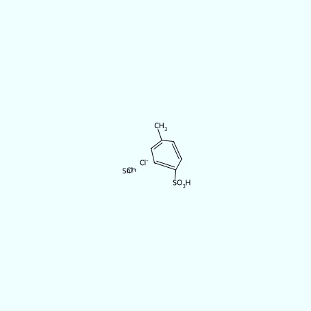 Cc1ccc(S(=O)(=O)O)cc1.[Cl-].[Cl-].[Sn+2]